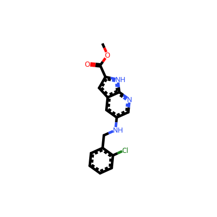 COC(=O)c1cc2cc(NCc3ccccc3Cl)cnc2[nH]1